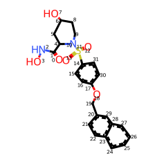 O=C(NO)C1CC(O)CCN1S(=O)(=O)c1ccc(OCc2ccc3ccccc3c2)cc1